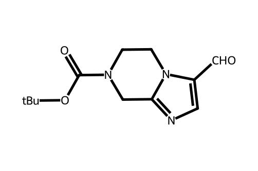 CC(C)(C)OC(=O)N1CCn2c(C=O)cnc2C1